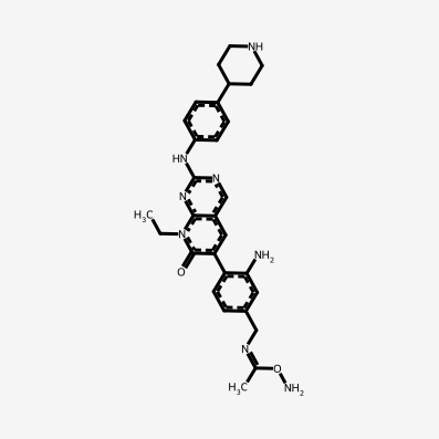 CCn1c(=O)c(-c2ccc(C/N=C(/C)ON)cc2N)cc2cnc(Nc3ccc(C4CCNCC4)cc3)nc21